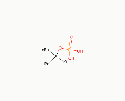 CCCCC(OP(=O)(O)O)(C(C)C)C(C)C